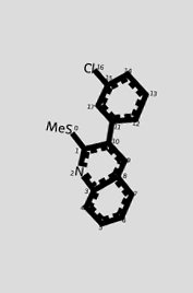 CSc1nc2ccccc2cc1-c1cccc(Cl)c1